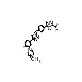 CN1CCN(c2cc(-c3cn(Cc4ccc(-c5nnc(C(F)F)o5)cc4)nn3)ccc2F)CC1